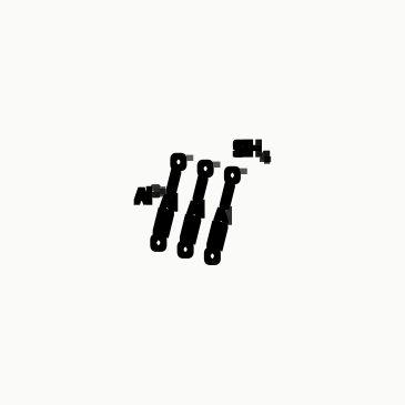 [Al+3].[O]=[Al][O-].[O]=[Al][O-].[O]=[Al][O-].[SiH4]